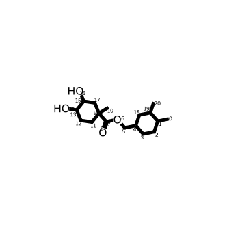 CC1CCC(COC(=O)C2(C)CCC(O)C(O)C2)CC1C